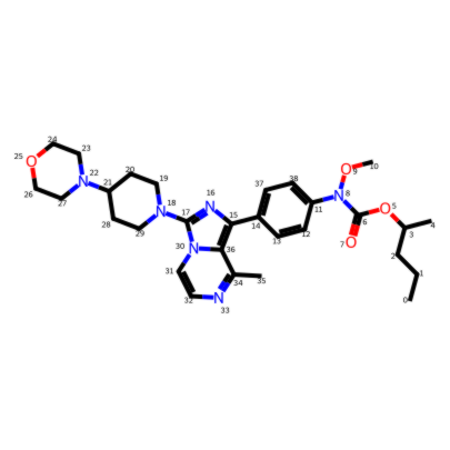 CCCC(C)OC(=O)N(OC)c1ccc(-c2nc(N3CCC(N4CCOCC4)CC3)n3ccnc(C)c23)cc1